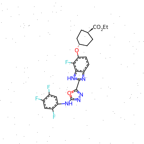 CCOC(=O)[C@H]1CC[C@H](Oc2ccc3nc(-c4nnc(Nc5cc(F)c(F)cc5F)o4)[nH]c3c2F)CC1